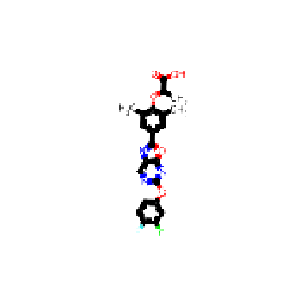 Cc1cc(-c2nc3cnc(Oc4ccc(F)c(Cl)c4)nc3o2)cc(C)c1OC(C)C(=O)O